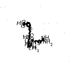 C[C@@]12C[C@@H]1N(C(=O)CNC(=O)CCCOc1cccc(C(=O)O)c1)[C@H](C(=O)NCc1cc(C(=N)N)cs1)C2